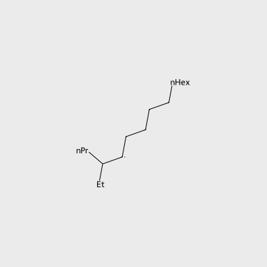 CCCCCCCCCC[CH]C(CC)CCC